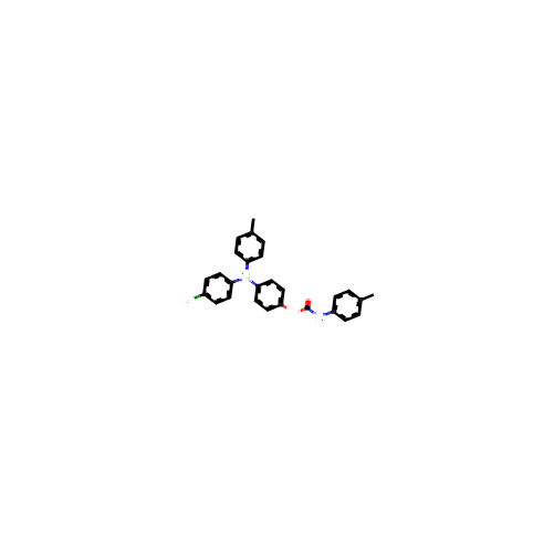 Cc1ccc(NC(=O)Oc2ccc(N(c3ccc(C)cc3)c3ccc(Br)cc3)cc2)cc1